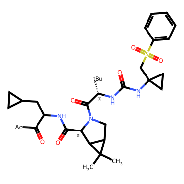 CC(=O)C(=O)C(CC1CC1)NC(=O)[C@@H]1C2C(CN1C(=O)[C@@H](NC(=O)NC1(CS(=O)(=O)c3ccccc3)CC1)C(C)(C)C)C2(C)C